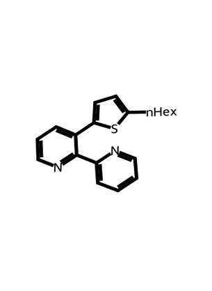 CCCCCCc1ccc(-c2cccnc2-c2ccccn2)s1